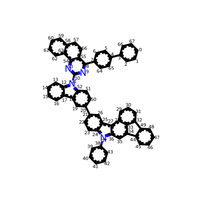 c1ccc(-c2ccc(-c3nc(-n4c5ccccc5c5cc(-c6ccc7c(c6)c6c8cccc9c8c(cc6n7-c6ccccc6)-c6ccccc6-9)ccc54)nc4c3ccc3ccccc34)cc2)cc1